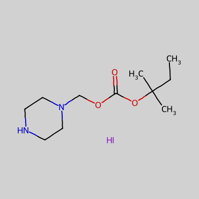 CCC(C)(C)OC(=O)OCN1CCNCC1.I